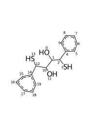 OC(C(S)c1ccccc1)C(O)C(S)c1ccccc1